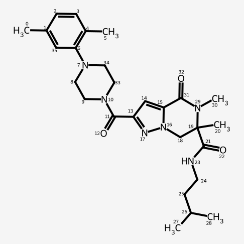 Cc1ccc(C)c(N2CCN(C(=O)c3cc4n(n3)CC(C)(C(=O)NCCC(C)C)N(C)C4=O)CC2)c1